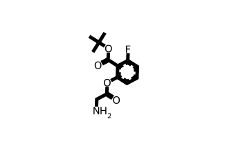 CC(C)(C)OC(=O)c1c(F)cccc1OC(=O)CN